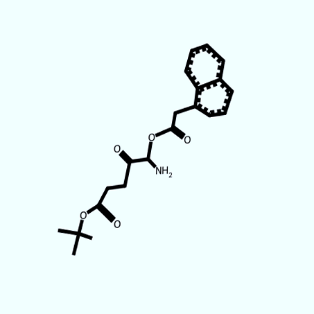 CC(C)(C)OC(=O)CCC(=O)C(N)OC(=O)Cc1cccc2ccccc12